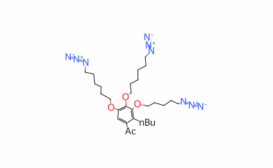 CCCCc1c(C(C)=O)cc(OCCCCCCN=[N+]=[N-])c(OCCCCCCN=[N+]=[N-])c1OCCCCCN=[N+]=[N-]